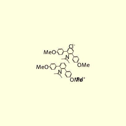 COc1ccc(-c2cccc(-c3ccc(OC)cc3)c2N2C(C)C2C)cc1.COc1ccc(-c2cccc(-c3ccc(OC)cc3)c2N2C(C)C2C)cc1.[CH3][Pd+].[Cl-]